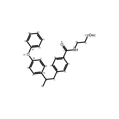 [CH2]C(Cc1ccc(C(=O)NCCCCCCCCCCCC)cc1)c1ccc(Oc2ccccc2)cc1